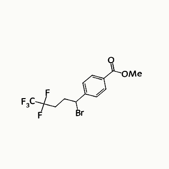 COC(=O)c1ccc(C(Br)CCC(F)(F)C(F)(F)F)cc1